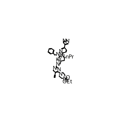 C#Cc1cnc(NCCC[C@H](CCC)N(C(=O)NCc2ccccc2)c2ccc(-c3cnn(C)c3)cn2)nc1N1CCN(S(=O)(=O)CC)CC1